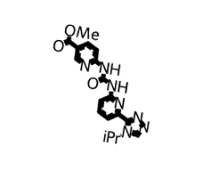 COC(=O)c1ccc(NC(=O)Nc2cccc(-c3nncn3C(C)C)n2)nc1